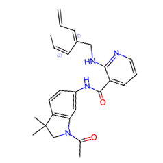 C=C/C=C(\C=C/C)CNc1ncccc1C(=O)Nc1ccc2c(c1)N(C(C)=O)CC2(C)C